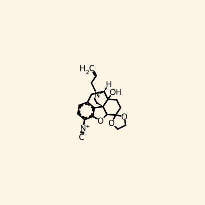 [C-]#[N+]c1ccc2c3c1OC1C4(CCC5(O)[C@@H](C2)N(CC=C)CC[C@]315)OCCO4